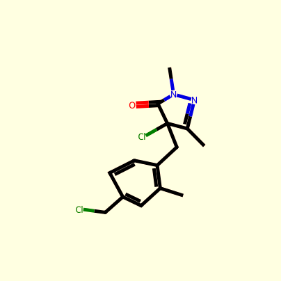 CC1=NN(C)C(=O)C1(Cl)Cc1ccc(CCl)cc1C